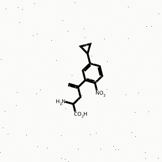 C=C(CC(N)C(=O)O)c1cc(C2CC2)ccc1[N+](=O)[O-]